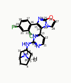 CN1C2CC[C@@H]1CC(Nc1nccc(-c3c(-c4ccc(F)cc4Cl)nc4occn34)n1)C2